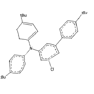 CC(C)(C)C1=CC=C(N(c2ccc(C(C)(C)C)cc2)c2cc(Cl)cc(-c3ccc(C(C)(C)C)cc3)c2)CC1